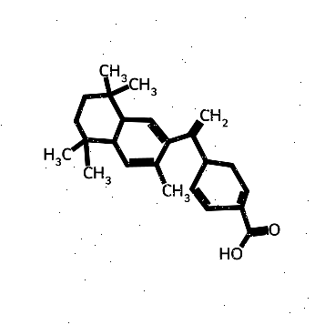 C=C(C1=CC2C(C=C1C)C(C)(C)CCC2(C)C)C1C=CC(C(=O)O)=CC1